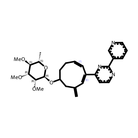 C=C1/C=C(c2ccnc(-c3cccnc3)n2)\C=C/CCC(O[C@@H]2O[C@@H](C)[C@H](OC)[C@@H](OC)[C@H]2OC)C1